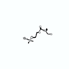 CN(CCl)C(=O)OCCO[Si](C)(C)C(C)(C)C